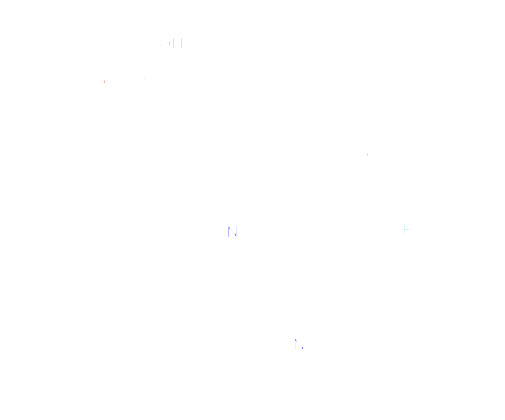 O=C(O)c1ccc(N(Cc2cccnc2)c2ccc(F)c(OC3CCCC3)c2)cc1